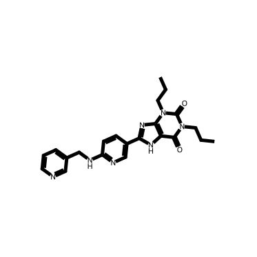 CCCn1c(=O)c2[nH]c(-c3ccc(NCc4cccnc4)nc3)nc2n(CCC)c1=O